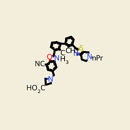 CCCN1CCc2nc(-c3cccc(-c4cccc(-c5nc6cc(CN7CC(C(=O)O)C7)cc(C#N)c6o5)c4C)c3C)sc2C1